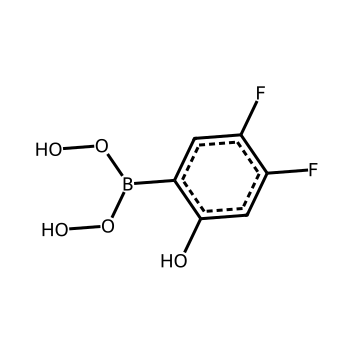 OOB(OO)c1cc(F)c(F)cc1O